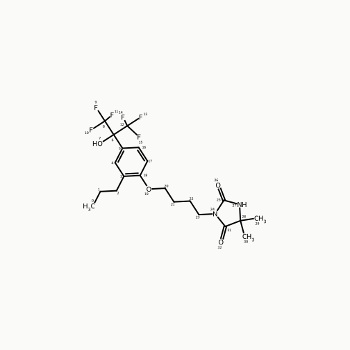 CCCc1cc(C(O)(C(F)(F)F)C(F)(F)F)ccc1OCCCCN1C(=O)NC(C)(C)C1=O